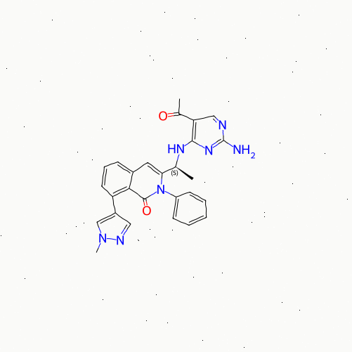 CC(=O)c1cnc(N)nc1N[C@@H](C)c1cc2cccc(-c3cnn(C)c3)c2c(=O)n1-c1ccccc1